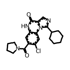 O=C(c1cc2[nH]c(=O)c3cnc(C4CCCCC4)n3c2cc1Cl)N1CCCC1